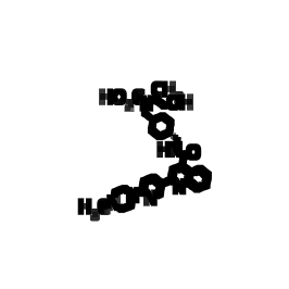 CC(CO)N(C[C@H]1CC[C@H](CNC(=O)c2cc(-c3ccc(N4CCN(C)CC4)nc3)nc3ccccc23)CC1)C(=O)O